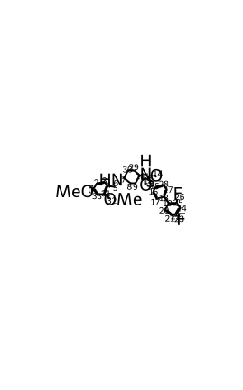 COc1ccc(CN[C@H]2CC[C@@H](NS(=O)(=O)c3ccc(-c4ccc(F)cc4F)cc3)CC2)c(OC)c1